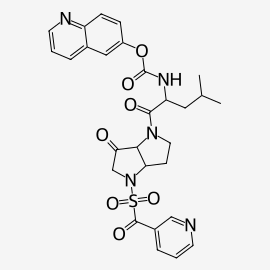 CC(C)CC(NC(=O)Oc1ccc2ncccc2c1)C(=O)N1CCC2C1C(=O)CN2S(=O)(=O)C(=O)c1cccnc1